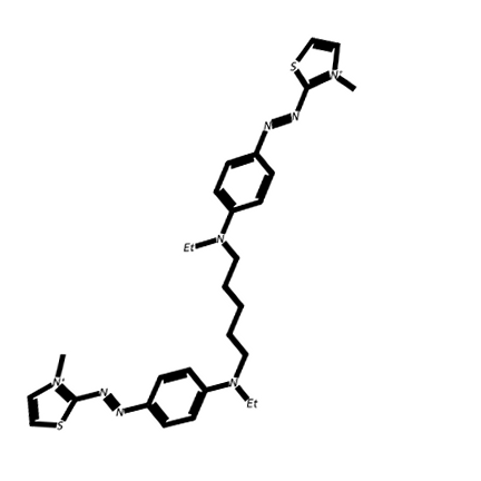 CCN(CCCCCN(CC)c1ccc(N=Nc2scc[n+]2C)cc1)c1ccc(N=Nc2scc[n+]2C)cc1